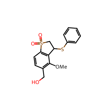 COc1c(CO)ccc2c1C(Sc1ccccc1)CS2(=O)=O